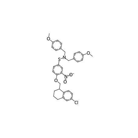 COc1ccc(CN(Cc2ccc(OC)cc2)Sc2ccc(OCC3CCCc4cc(Cl)ccc43)c([N+](=O)[O-])c2)cc1